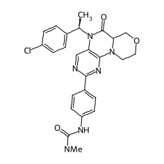 CNC(=O)Nc1ccc(-c2ncc3c(n2)N2CCOCC2C(=O)N3[C@H](C)c2ccc(Cl)cc2)cc1